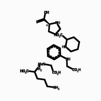 CNCC(=O)O.NCCCC(N)C(=O)O.O=C(O)C1CCCCN1.O=C(O)CNc1ccccc1.OC(=S)[C@@H]1CCCN1